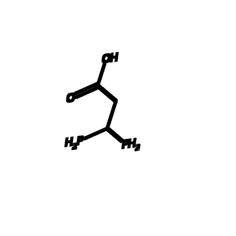 O=C(O)CC(P)P